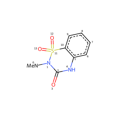 CNN1C(=O)Nc2ccccc2S1(=O)=O